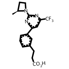 C[C@H]1CCN1c1nc(-c2cccc(CCC(=O)O)c2)cc(C(F)(F)F)n1